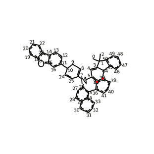 CC1(C)C2=CC(N(C3=CCC(c4ccc5c(c4)oc4ccccc45)C=C3)c3ccc4ccccc4c3-c3ccccc3)=CCC2c2ccccc21